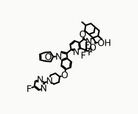 CC1CC2CC(C)C(NC(=O)c3ccc(-c4cn(C5CC6C=CC(C5)O6)c5cc(OC6CCN(c7ncc(F)cn7)CC6)ccc45)nc3C(F)(F)F)(C(=O)O)C(C1)C2